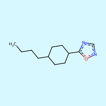 CCCCC1CCC(c2n[c]no2)CC1